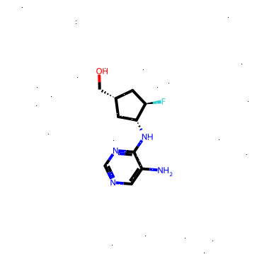 Nc1cncnc1N[C@@H]1C[C@H](CO)C[C@H]1F